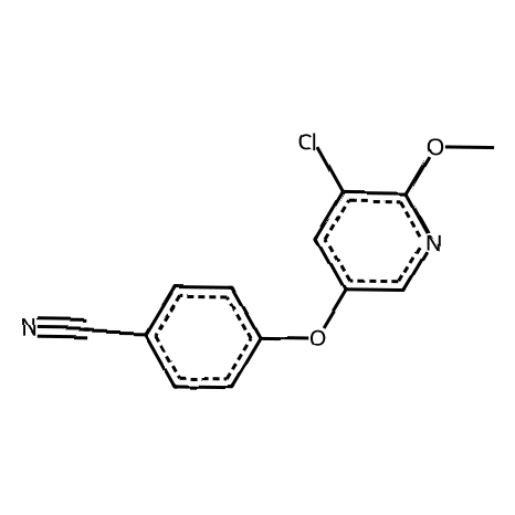 COc1ncc(Oc2ccc(C#N)cc2)cc1Cl